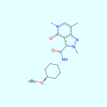 CCCCO[C@H]1CC[C@H](NC(=O)c2c3c(=O)n(C)cc(C)c3nn2C)CC1